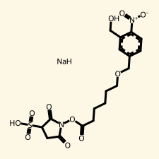 O=C(CCCCCOCc1ccc([N+](=O)[O-])c(CO)c1)ON1C(=O)CC(S(=O)(=O)O)C1=O.[NaH]